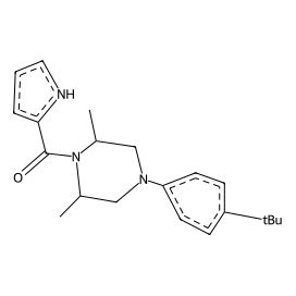 CC1CN(c2ccc(C(C)(C)C)cc2)CC(C)N1C(=O)c1ccc[nH]1